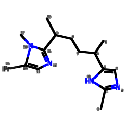 Cc1ncc(C(C)CCC(C)c2ncc(C(C)C)n2C)[nH]1